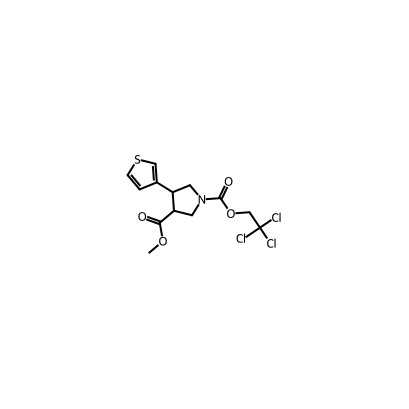 COC(=O)C1CN(C(=O)OCC(Cl)(Cl)Cl)CC1c1ccsc1